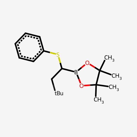 CC(C)(C)CC(Sc1ccccc1)B1OC(C)(C)C(C)(C)O1